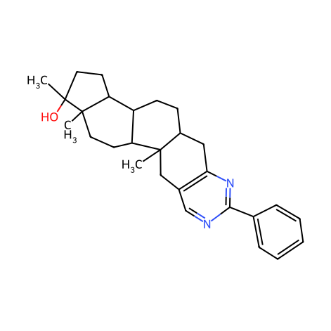 CC12Cc3cnc(-c4ccccc4)nc3CC1CCC1C2CCC2(C)C1CCC2(C)O